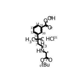 CC(C)(C)OC(=O)CNCCC(C)(C)c1cccc(C(=O)OO)c1.Cl